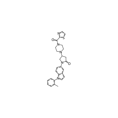 Cc1ccccc1-n1ccc2cc(N3CC(N4CCN(C(=O)c5nccs5)CC4)CC3=O)ccc21